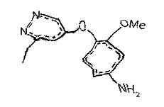 COc1cc(N)ccc1Oc1cnnc(C)c1